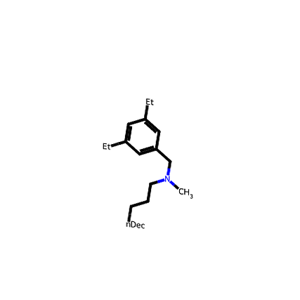 CCCCCCCCCCCCCN(C)Cc1cc(CC)cc(CC)c1